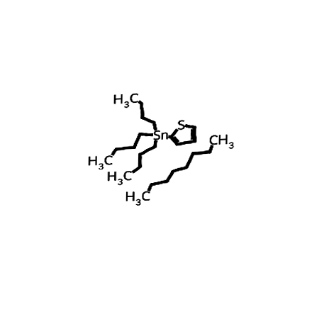 CCCCCCCC.CCC[CH2][Sn]([CH2]CCC)([CH2]CCC)[c]1cccs1